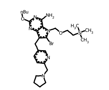 CCCCOc1nc(N)c2c(n1)c(Cc1ccc(CN3CCCC3)nc1)c(Br)n2COCC[Si](C)(C)C